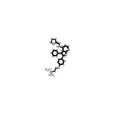 CN(C)CCOc1ccc(-c2oc3nccc(N/C=C4/CCCO4)c3c2-c2ccccc2)cc1